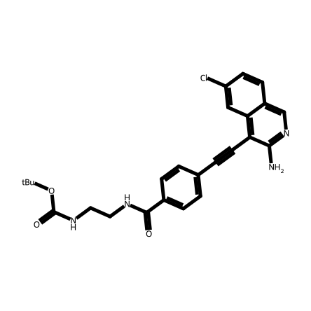 CC(C)(C)OC(=O)NCCNC(=O)c1ccc(C#Cc2c(N)ncc3ccc(Cl)cc23)cc1